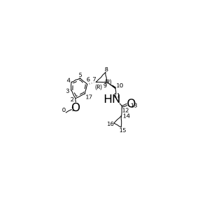 COc1cccc([C@@H]2C[C@H]2CNC(=O)C2CC2)c1